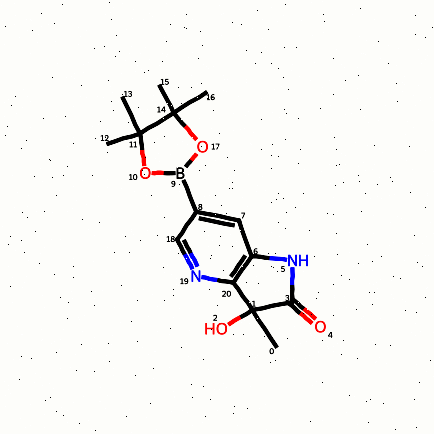 CC1(O)C(=O)Nc2cc(B3OC(C)(C)C(C)(C)O3)cnc21